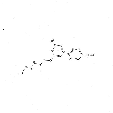 CCCCCc1ccc(-c2cc(O)cc(OCCOCCO)c2)cc1